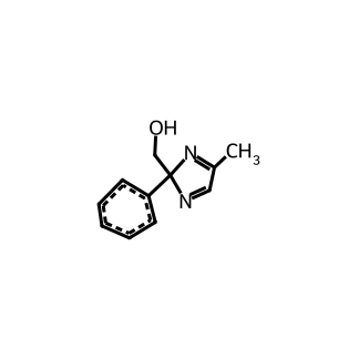 CC1=NC(CO)(c2ccccc2)N=C1